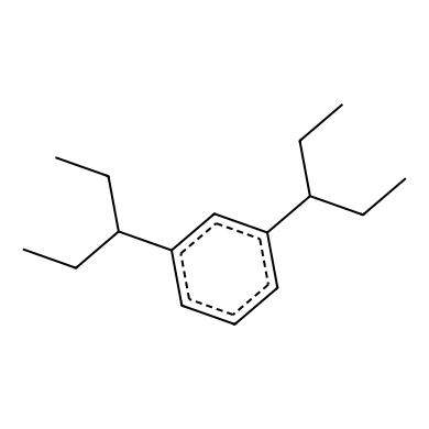 CCC(CC)c1cccc(C(CC)CC)c1